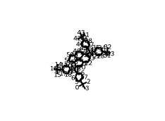 CC(C)(C)c1ccc(N(c2ccc(C(C)(C)C)cc2)c2cc3ccc(N(c4ccc(C(C)(C)C)cc4)c4ccc(C(C)(C)C)cc4)c4ccc5cccc2c5c34)cc1